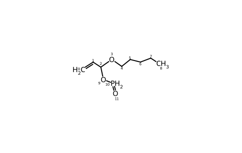 C=CC(OCCCCC)O[PH2]=O